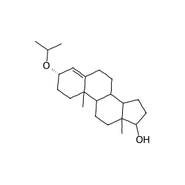 CC(C)O[C@@H]1C=C2CCC3C(CCC4(C)C(O)CCC34)C2(C)CC1